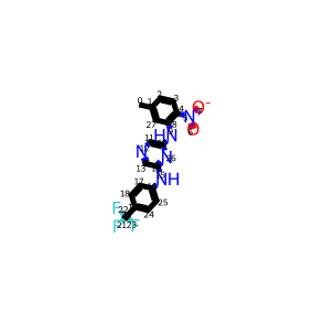 Cc1ccc([N+](=O)[O-])c(Nc2cncc(Nc3ccc(C(F)(F)F)cc3)n2)c1